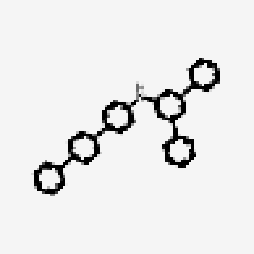 c1ccc(-c2ccc(-c3ccc(Nc4cc(-c5ccccc5)cc(-c5ccccc5)c4)cc3)cc2)cc1